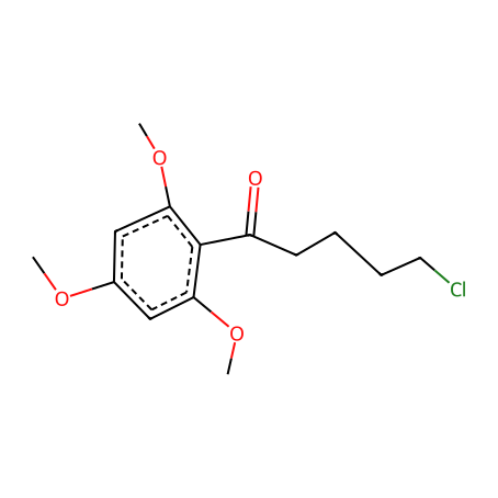 COc1cc(OC)c(C(=O)CCCCCl)c(OC)c1